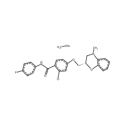 CN1C[C@@H](COc2ccc(C(=O)Nc3ccc(F)cc3)c(Cl)c2)Oc2ccccc21.COC(C)=O